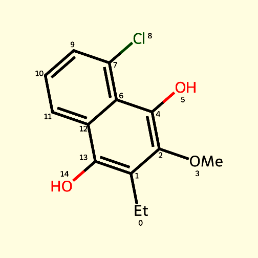 CCc1c(OC)c(O)c2c(Cl)cccc2c1O